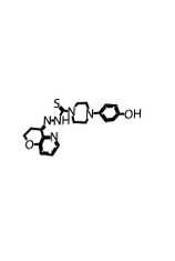 Oc1ccc(N2CCN(C(=S)N/N=C3/CCOc4cccnc43)CC2)cc1